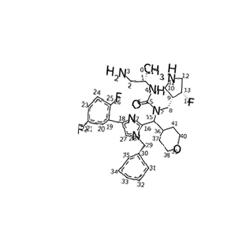 C[C@@H](CN)NC(=O)N(C[C@@H]1CNC[C@@H]1F)C(c1nc(-c2cc(F)ccc2F)cn1Cc1ccccc1)C1CCOCC1